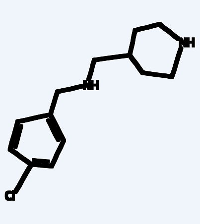 Clc1ccc(CNCC2CCNCC2)cc1